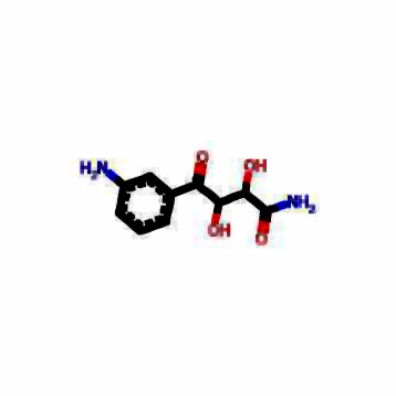 NC(=O)C(O)C(O)C(=O)c1cccc(N)c1